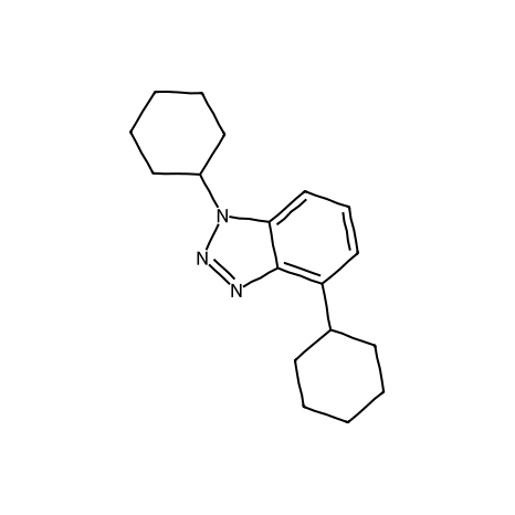 c1cc(C2CCCCC2)c2nnn(C3CCCCC3)c2c1